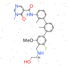 COc1cc(-c2cccc(-c3cccc(NC(=O)c4cncn(C)c4=O)c3C)c2C)cc(F)c1CN[C@H](C)CO